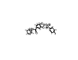 Cc1ccc(S(=O)(=O)OC2Oc3ccc(C(=O)NC4CN5CCC4C5)cc3O2)cc1